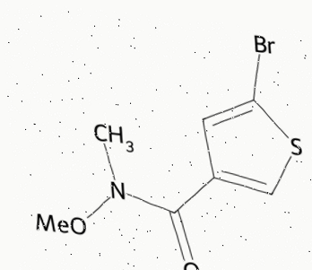 CON(C)C(=O)c1csc(Br)c1